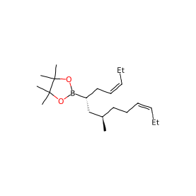 CC/C=C\CC[C@@H](C)C[C@@H](C/C=C\CC)B1OC(C)(C)C(C)(C)O1